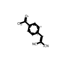 N#CC(C#N)=Cc1ccc(C(=O)Cl)cc1